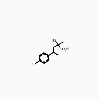 CCC(C)(CC(C)c1ccc(Cl)cc1)C(=O)O